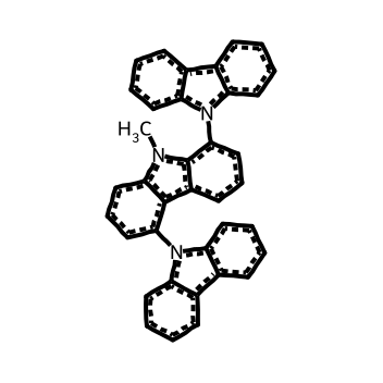 Cn1c2cccc(-n3c4ccccc4c4ccccc43)c2c2cccc(-n3c4ccccc4c4ccccc43)c21